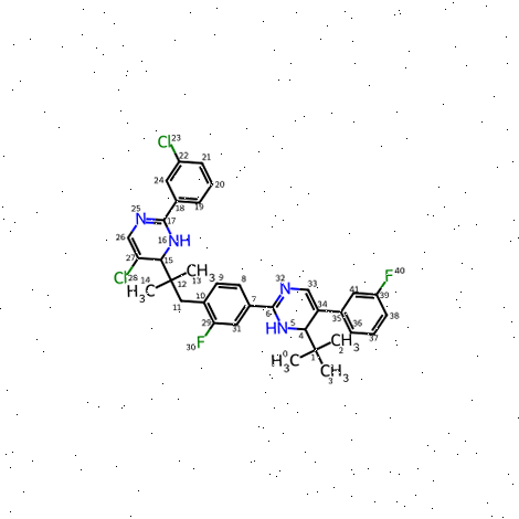 CC(C)(C)C1NC(c2ccc(CC(C)(C)C3NC(c4cccc(Cl)c4)=NC=C3Cl)c(F)c2)=NC=C1c1cccc(F)c1